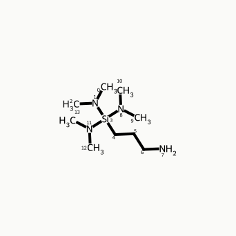 CN(C)[Si](CCCN)(N(C)C)N(C)C